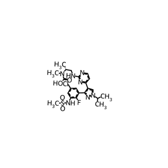 CC(C)n1cc(-c2ccnc(NC[C@@H](C)N(C)C(=O)O)n2)c(-c2cc(Cl)cc(NS(C)(=O)=O)c2F)n1